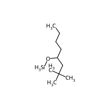 CCCCC(CC(C)(C)C)O[SiH3]